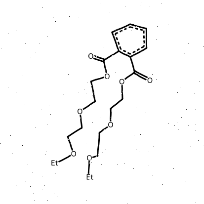 CCOCCOCCOC(=O)c1ccccc1C(=O)OCCOCCOCC